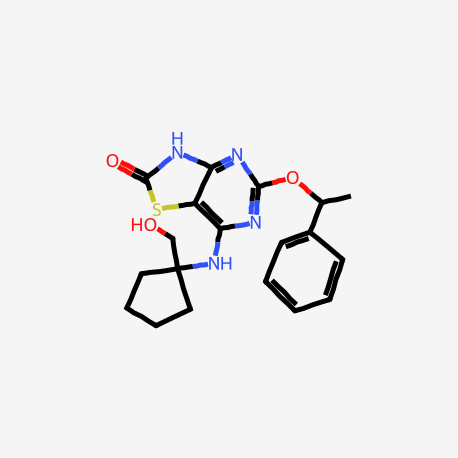 CC(Oc1nc(NC2(CO)CCCC2)c2sc(=O)[nH]c2n1)c1ccccc1